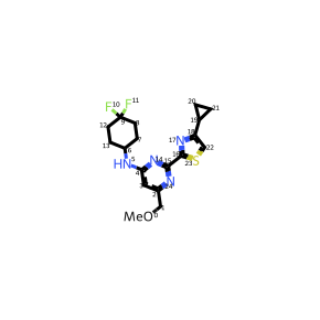 COCc1cc(NC2CCC(F)(F)CC2)nc(-c2nc(C3CC3)cs2)n1